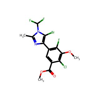 COC(=O)c1cc(-c2nc(C)n(C(F)F)c2Br)c(F)c(OC)c1Cl